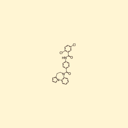 O=C(Nc1ccc(C(=O)N2CCc3cccn3-c3ccccc32)cc1)c1cc(Cl)ccc1Cl